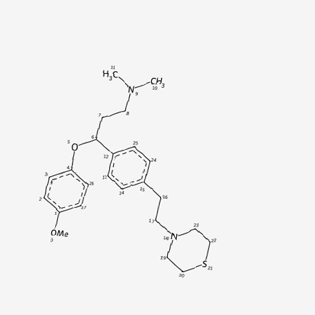 COc1ccc(OC(CCN(C)C)c2ccc(CCN3CCSCC3)cc2)cc1